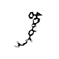 O=C(O)CCCNC(=O)c1ccc(-c2nc3ccc(C4(c5ccccc5)CC4)nc3s2)c(F)c1